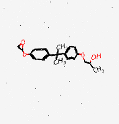 CC(O)COc1ccc(C(C)(C)c2ccc(OC3CO3)cc2)cc1